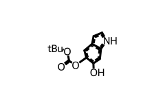 CC(C)(C)OC(=O)Oc1cc2cc[nH]c2cc1O